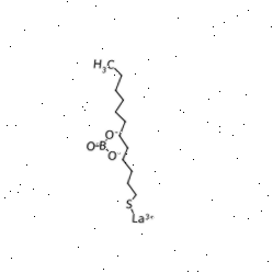 CCCCCCCCCCCC[S][La+3].[O-]B([O-])[O-]